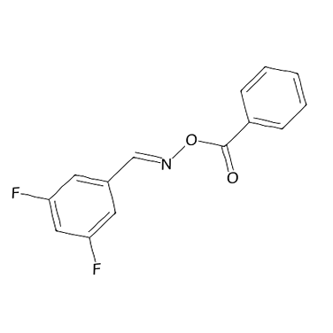 O=C(ON=Cc1cc(F)cc(F)c1)c1ccccc1